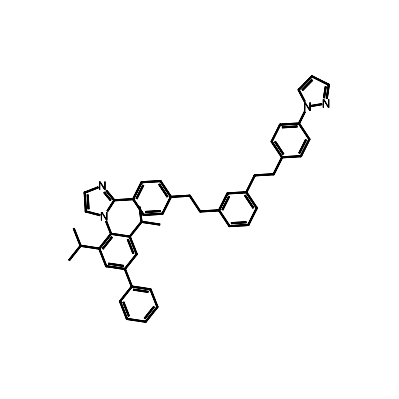 CC(C)c1cc(-c2ccccc2)cc(C(C)C)c1-n1ccnc1-c1ccc(CCc2cccc(CCc3ccc(-n4cccn4)cc3)c2)cc1